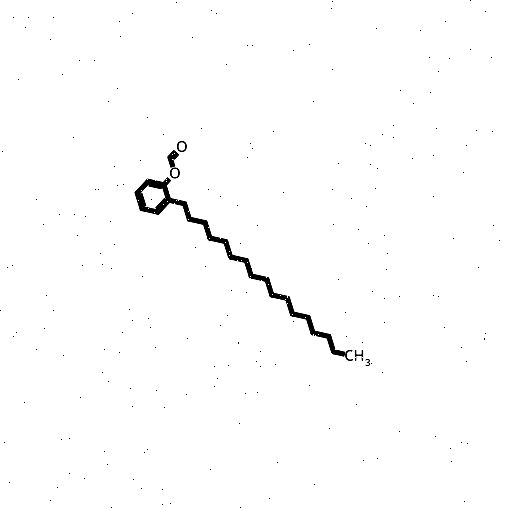 CCCCCCCCCCCCCCCCCc1ccccc1OC=O